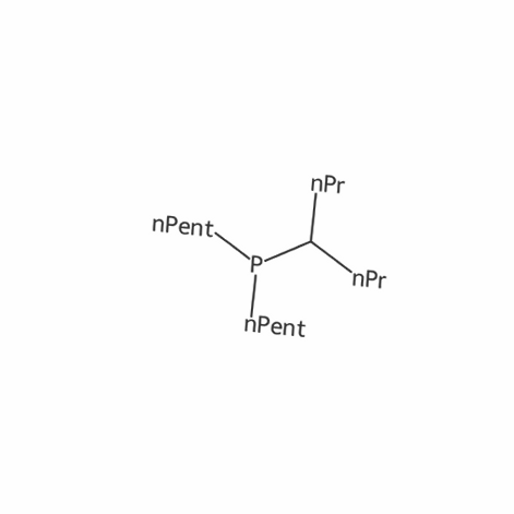 CCCCCP(CCCCC)C(CCC)CCC